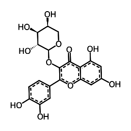 O=c1c(OC2OC[C@H](O)[C@H](O)[C@H]2O)c(-c2ccc(O)c(O)c2)oc2cc(O)cc(O)c12